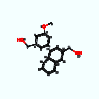 COc1cccc(CO)c1.OCc1ccc2ccccc2c1